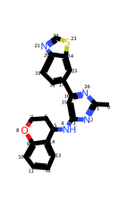 Cc1nc(NC2CCOc3ccccc32)cc(-c2ccc3ncsc3c2)n1